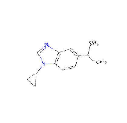 CC(C)c1ccc2c(c1)ncn2C1CC1